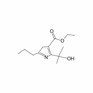 CCCC1=NC(C(C)(C)O)=C(C(=O)OCC)C1